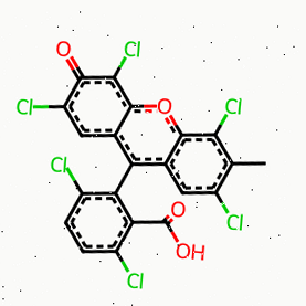 Cc1c(Cl)cc2c(-c3c(Cl)ccc(Cl)c3C(=O)O)c3cc(Cl)c(=O)c(Cl)c-3oc2c1Cl